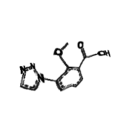 COc1c(C(=O)O)cccc1-n1ccnn1